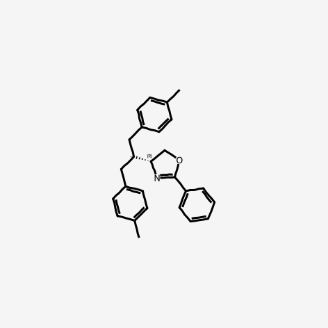 Cc1ccc(C[C](Cc2ccc(C)cc2)[C@@H]2COC(c3ccccc3)=N2)cc1